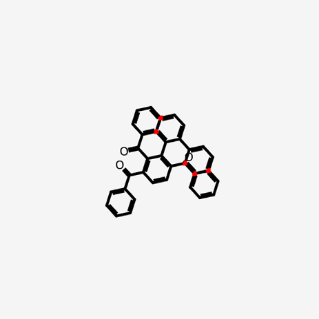 O=C(c1ccccc1)c1ccc(C(=O)c2ccccc2)c(-c2ccccc2-c2ccccc2)c1C(=O)c1ccccc1